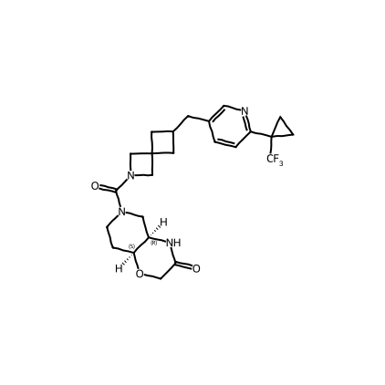 O=C1CO[C@H]2CCN(C(=O)N3CC4(CC(Cc5ccc(C6(C(F)(F)F)CC6)nc5)C4)C3)C[C@H]2N1